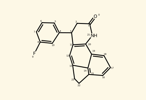 O=C1CC(c2cccc(F)c2)c2cc3c4c(cccc4c2N1)CC3